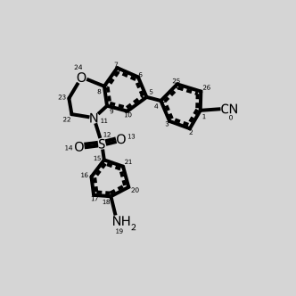 N#Cc1ccc(-c2ccc3c(c2)N(S(=O)(=O)c2ccc(N)cc2)CCO3)cc1